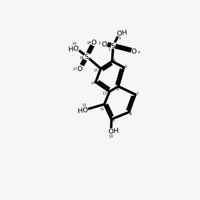 O=S(=O)(O)c1cc2ccc(O)c(O)c2cc1S(=O)(=O)O